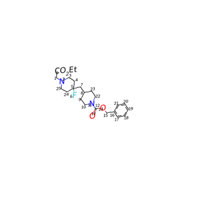 CCOC(=O)CN1CCC(F)(CC2CCN(C(=O)OCc3ccccc3)CC2)CC1